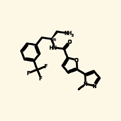 Cn1nccc1-c1ccc(C(=O)N[C@H](CN)Cc2cccc(C(F)(F)F)c2)o1